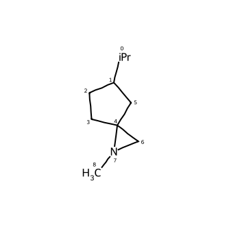 CC(C)C1CCC2(C1)CN2C